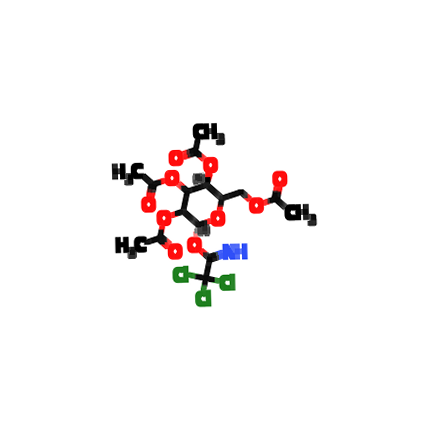 CC(=O)OCC1O[C@H](OC(=N)C(Cl)(Cl)Cl)C(OC(C)=O)C(OC(C)=O)[C@H]1OC(C)=O